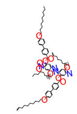 C=CCCCCCCCCOc1ccc(-c2ccc(C(=O)Oc3cc(N(C)C)c(O[C@@H](C)CCCCC=C)cc3/N=N/c3cc(OC(=O)c4ccc(-c5ccc(OCCCCCCCCCC)cc5)cc4)c([N+](=O)[O-])cc3O[C@@H](C)CCCCCC)cc2)cc1